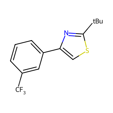 CC(C)(C)c1nc(-c2cccc(C(F)(F)F)c2)cs1